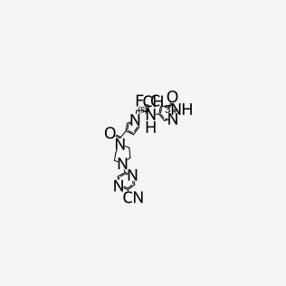 C[C@@H](Cn1ccc(C(=O)N2CCN(c3cnc(C#N)cn3)CC2)c1)Nc1cn[nH]c(=O)c1C(F)(F)F